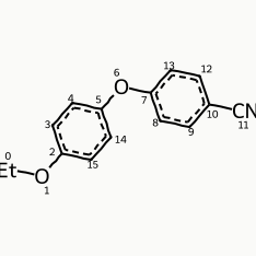 CCOc1ccc(Oc2ccc(C#N)cc2)cc1